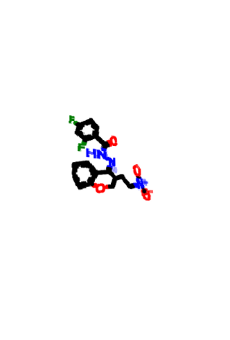 O=C(N/N=C1\c2ccccc2OCC1CC[N+](=O)[O-])c1ccc(F)cc1F